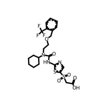 O=C(O)CS(=O)(=O)c1cnc(NC(=O)N(CCOCc2ccccc2C(F)(F)F)C2CCCCC2)s1